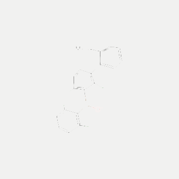 CSc1ccccc1-c1ccc(F)c([S+]([O-])c2c(F)cccc2F)c1F